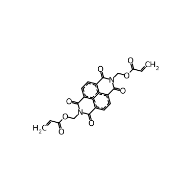 C=CC(=O)OCN1C(=O)c2ccc3c4c(ccc(c24)C1=O)C(=O)N(COC(=O)C=C)C3=O